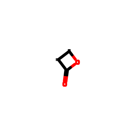 O=C1[C][C]O1